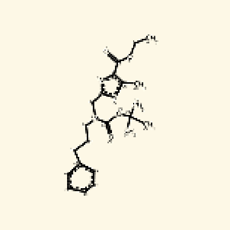 CCOC(=O)c1nc(CN(CCCc2ccccc2)C(=O)OC(C)(C)C)sc1C